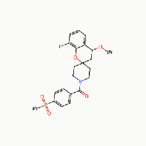 CC(C)OC1CC2(CCN(C(=O)c3ccc(S(=O)(=O)C(C)C)cc3)CC2)Oc2c(F)cccc21